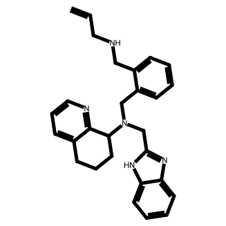 C=CCNCc1ccccc1CN(Cc1nc2ccccc2[nH]1)C1CCCc2cccnc21